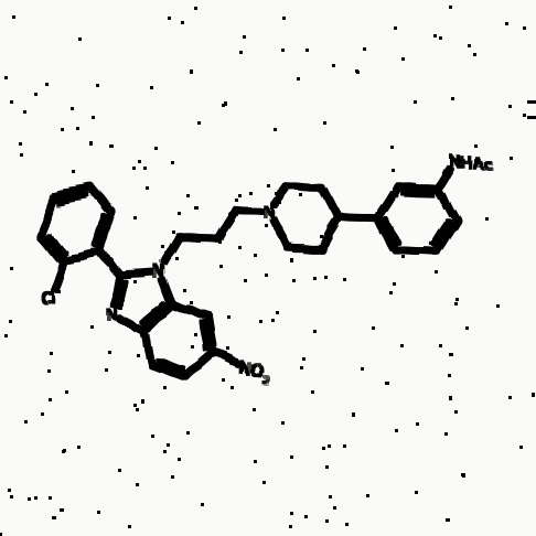 CC(=O)Nc1cccc(C2CCN(CCCn3c(-c4ccccc4Cl)nc4ccc([N+](=O)[O-])cc43)CC2)c1